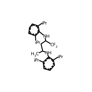 CC(CC(Nc1c(C(C)C)cccc1C(C)C)C(F)(F)F)Nc1c(C(C)C)cccc1C(C)C